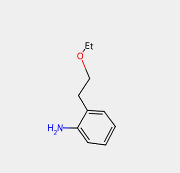 CCOCCc1ccccc1N